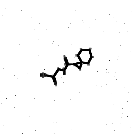 NC(=O)CNC(=O)[C@H]1CC12CCCCC2